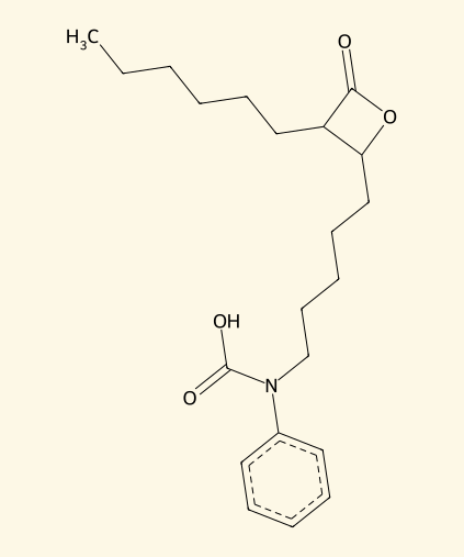 CCCCCCC1C(=O)OC1CCCCCN(C(=O)O)c1ccccc1